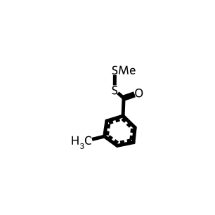 CSSC(=O)c1cccc(C)c1